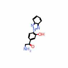 NCC(=O)c1ccc(-n2nc3ccccc3n2)c(O)c1